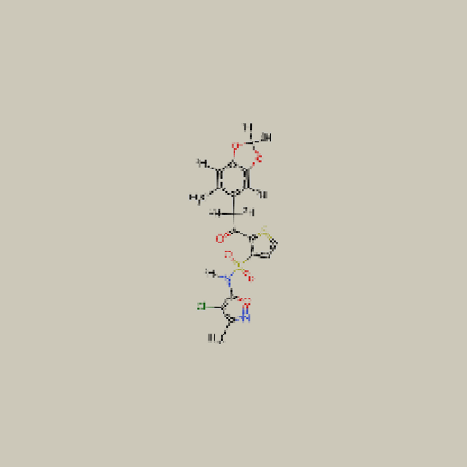 [2H]c1c(C)c(C([2H])([2H])C(=O)c2sccc2S(=O)(=O)N([2H])c2onc(C)c2Cl)c([2H])c2c1OC([2H])([2H])O2